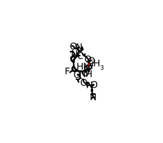 CCn1c(-c2cccnc2[C@H](C)OC)c2c3cc(ccc31)-c1cc(CF)cc(c1)C[C@H](NC(=O)[C@@H](COC1CN(C(=O)C#CC(C)(C)N(C)C)C1)C(C)C)C(=O)N1CCC[C@@]([SiH3])(N1)C(=O)OCC(C)(C)C2